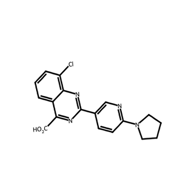 O=C(O)c1nc(-c2ccc(N3CCCC3)nc2)nc2c(Cl)cccc12